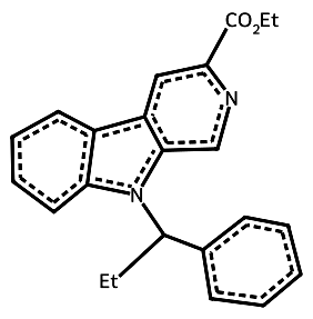 CCOC(=O)c1cc2c3ccccc3n(C(CC)c3ccccc3)c2cn1